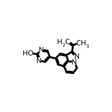 C=C(C)c1nn2c3c(cc(-c4cnc(O)nc4)cc13)C=CC2